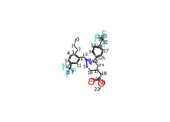 CCCc1ccc(C(F)(F)F)cc1CN1CC[C@H](CC(=O)OC)C[C@@H]1c1ccc(C(F)(F)F)cc1